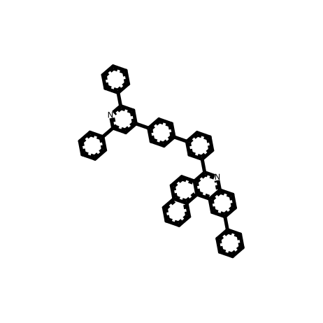 c1ccc(-c2ccc3nc(-c4cccc(-c5ccc(-c6cc(-c7ccccc7)nc(-c7ccccc7)c6)cc5)c4)c4ccc5ccccc5c4c3c2)cc1